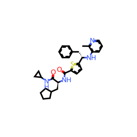 Cc1ncccc1N[C@@H](Cc1ccccc1)c1ccc(C(=O)N[C@@H](CC2CCCC2)C(=O)NC2CC2)s1